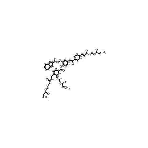 C=CC(=O)OCOCC(=O)/C=C/c1ccc(C(=O)Oc2ccc(OC(=O)c3ccc(/C=C/C(=O)OCOC(=O)C=C)cc3)cc2/C=N/Nc2nc3ccccc3s2)cc1OCOC(=O)C=C